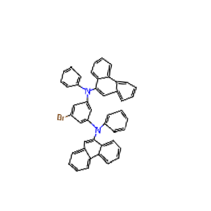 Brc1cc(N(c2ccccc2)c2cc3ccccc3c3ccccc23)cc(N(c2ccccc2)c2cc3ccccc3c3ccccc23)c1